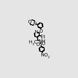 CCc1c(C(C)NS(=O)(=O)c2ccc([N+](=O)[O-])cc2)ccnc1Oc1cccc(N2CCOCC2)c1